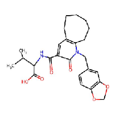 CC(C)C(NC(=O)c1cc2c(n(Cc3ccc4c(c3)OCO4)c1=O)CCCCCC2)C(=O)O